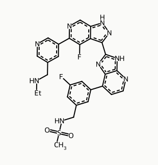 CCNCc1cncc(-c2ncc3[nH]nc(-c4nc5c(-c6cc(F)cc(CNS(C)(=O)=O)c6)ccnc5[nH]4)c3c2F)c1